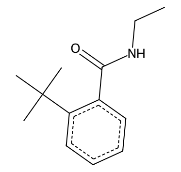 CCNC(=O)c1ccccc1C(C)(C)C